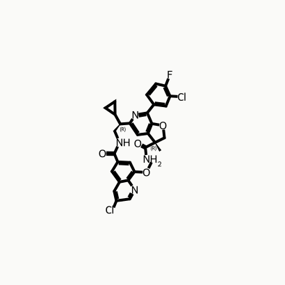 COc1cc(C(=O)NC[C@H](c2cc3c(c(-c4ccc(F)c(Cl)c4)n2)OC[C@]3(C)C(N)=O)C2CC2)cc2cc(Cl)cnc12